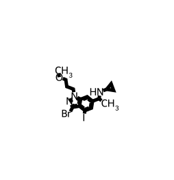 COCCCn1nc(Br)c2c(I)cc(C(C)NC3CC3)cc21